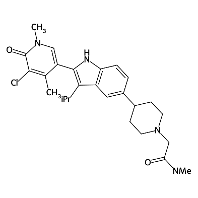 CNC(=O)CN1CCC(c2ccc3[nH]c(-c4cn(C)c(=O)c(Cl)c4C)c(C(C)C)c3c2)CC1